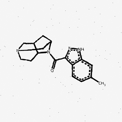 Cc1ccc2c(C(=O)N3C4CC5CN(CCC53)C4)n[nH]c2c1